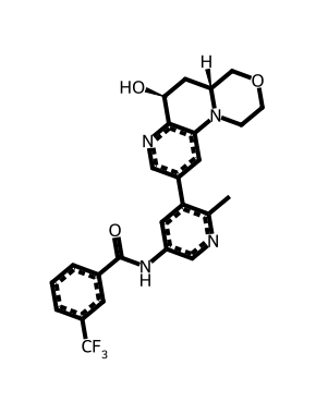 Cc1ncc(NC(=O)c2cccc(C(F)(F)F)c2)cc1-c1cnc2c(c1)N1CCOC[C@H]1C[C@@H]2O